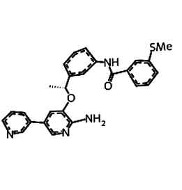 CSc1cccc(C(=O)Nc2cccc([C@@H](C)Oc3cc(-c4cccnc4)cnc3N)c2)c1